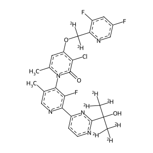 [2H]C([2H])(Oc1cc(C)n(-c2c(C)cnc(-c3ccnc(C(O)(C([2H])([2H])[2H])C([2H])([2H])[2H])n3)c2F)c(=O)c1Cl)c1ncc(F)cc1F